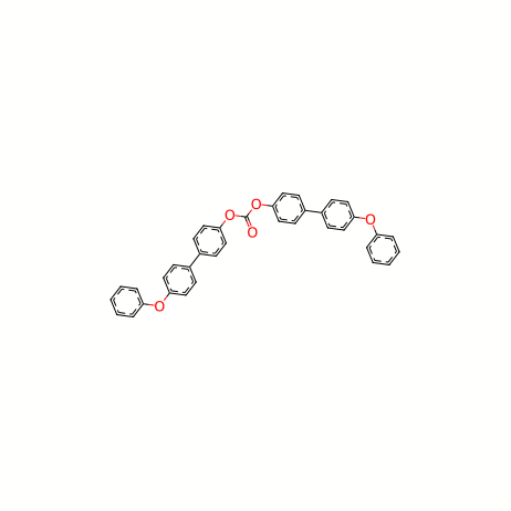 O=C(Oc1ccc(-c2ccc(Oc3ccccc3)cc2)cc1)Oc1ccc(-c2ccc(Oc3ccccc3)cc2)cc1